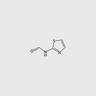 O=CNc1nccs1